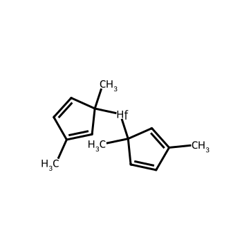 CC1=C[C](C)([Hf][C]2(C)C=CC(C)=C2)C=C1